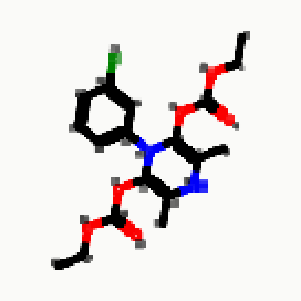 CCOC(=O)OC1=C(C)NC(C)=C(OC(=O)OCC)N1c1cccc(Cl)c1